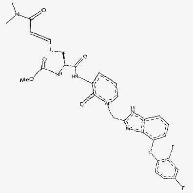 COC(=O)N[C@@H](CC/C=C/C(=O)N(C)C)C(=O)Nc1cccn(Cc2nc3c(Oc4ccc(F)cc4F)cccc3[nH]2)c1=O